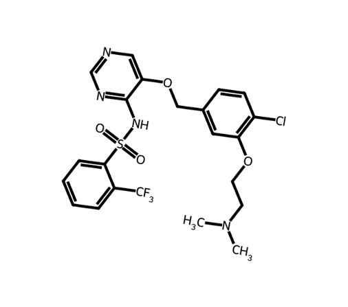 CN(C)CCOc1cc(COc2cncnc2NS(=O)(=O)c2ccccc2C(F)(F)F)ccc1Cl